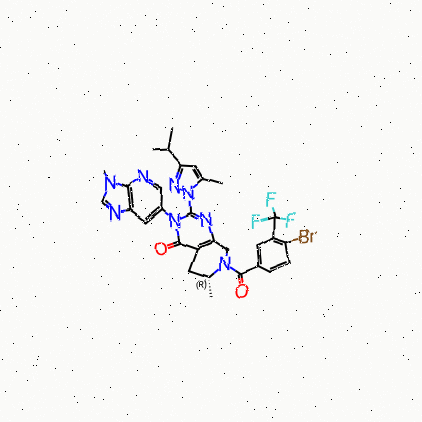 Cc1cc(C(C)C)nn1-c1nc2c(c(=O)n1-c1cnc3c(c1)ncn3C)C[C@@H](C)N(C(=O)c1ccc(Br)c(C(F)(F)F)c1)C2